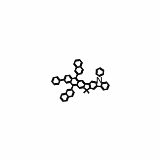 CC1(C)c2cc3c(-c4ccc5ccccc5c4)c4cc(-c5ccccc5)ccc4c(-c4ccc5ccccc5c4)c3cc2-c2cc3c(cc21)c1ccccc1n3-c1ccccc1